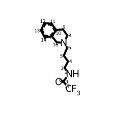 O=C(NCCCCN1CCc2ccccc2C1)C(F)(F)F